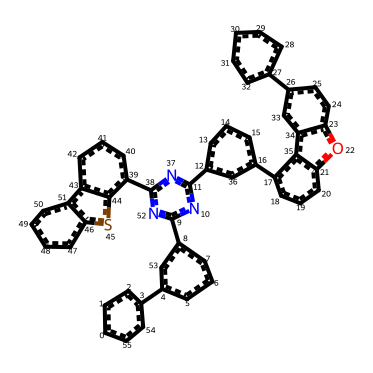 c1ccc(-c2cccc(-c3nc(-c4cccc(-c5cccc6oc7ccc(-c8ccccc8)cc7c56)c4)nc(-c4cccc5c4sc4ccccc45)n3)c2)cc1